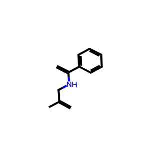 C=C(C)CNC(=C)c1ccccc1